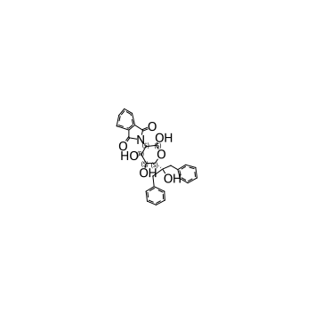 O=C1c2ccccc2C(=O)N1[C@H]1[C@@H](O)[C@H](O)[C@@H](C(O)(Cc2ccccc2)Cc2ccccc2)O[C@@H]1O